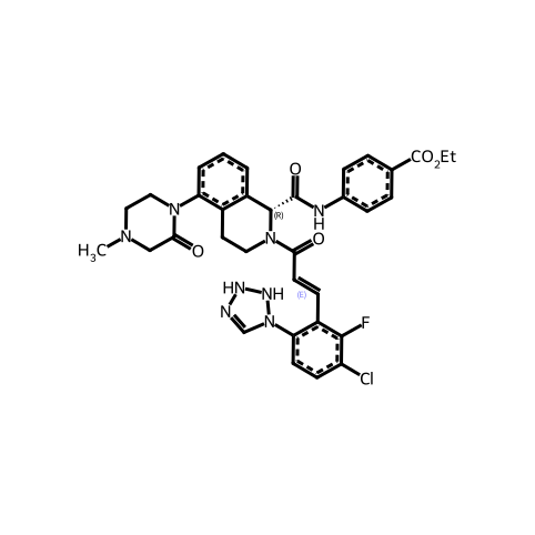 CCOC(=O)c1ccc(NC(=O)[C@H]2c3cccc(N4CCN(C)CC4=O)c3CCN2C(=O)/C=C/c2c(N3C=NNN3)ccc(Cl)c2F)cc1